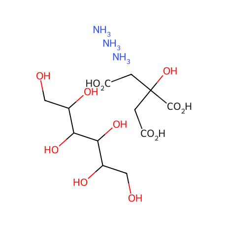 N.N.N.O=C(O)CC(O)(CC(=O)O)C(=O)O.OCC(O)C(O)C(O)C(O)CO